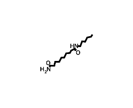 CCCCCCNC(=O)CCCCCCCCC(N)=O